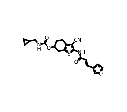 N#Cc1c(NC(=O)C=Cc2ccoc2)sc2c1CCC(OC(=O)NCC1CC1)C2